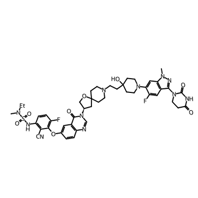 CCN(C)S(=O)(=O)Nc1ccc(F)c(Oc2ccc3ncn([C@H]4COC5(CCN(CCC6(O)CCN(c7cc8c(cc7F)c(N7CCC(=O)NC7=O)nn8C)CC6)CC5)C4)c(=O)c3c2)c1C#N